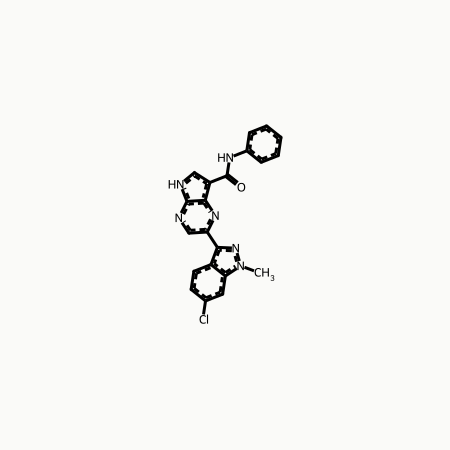 Cn1nc(-c2cnc3[nH]cc(C(=O)Nc4ccccc4)c3n2)c2ccc(Cl)cc21